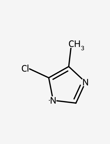 CC1=C(Cl)[N]C=N1